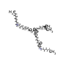 CCCCCC/C=C\COC(=O)CCCCCOCC1OC(CCCCCN(C)CC)OC1COCCCCCCCC/C=C\CCCCCCCC